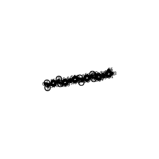 COC(=O)c1ccc(C(=O)Oc2ccc(C(C)(C)c3ccc(OC(=O)c4ccc(C(=O)Oc5ccc(C(C)(C)c6ccc(C)c(C)c6)cc5C)cc4)cc3)cc2)cc1